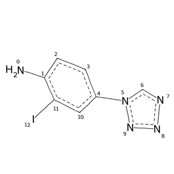 Nc1ccc(-n2cnnn2)cc1I